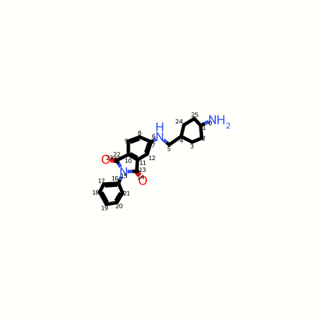 NC1CCC(CNc2ccc3c(c2)C(=O)N(c2ccccc2)C3=O)CC1